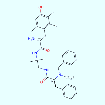 Cc1cc(O)c(C)c(C)c1C[C@@H](N)C(=O)NC(C)(C)CNC(=O)[C@H](Cc1ccccc1)N(Cc1ccccc1)C(=O)O